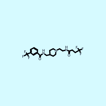 O=C(CCC(F)(F)F)NCCN1CCC(CNC(=O)c2cccc(C(F)(F)F)c2)CC1